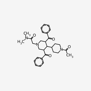 CC(=O)N1CCC(C2C(C(=O)c3ccccc3)CN(CC(=O)N(C)C)CC2C(=O)c2ccccc2)CC1